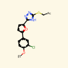 CCOc1ccc(-c2ccc(-c3nnc(SCC(C)=O)[nH]3)o2)cc1Cl